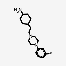 NC1CCC(CCN2CCN(c3cccc(F)c3)CC2)CC1